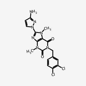 Cn1c(-n2ccc(N)n2)nc2c1c(=O)n(Cc1ccc(Cl)c(Cl)c1)c(=O)n2C